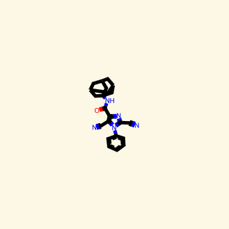 N#Cc1nc(C(=O)NC23CC4CC(CC(C4)C2)C3)c(C#N)n1-c1ccccc1